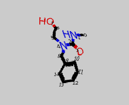 CNC(=O)N(CCO)Cc1ccccc1